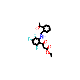 CCOC(=O)CC(=O)c1c(F)cc(F)c(F)c1NCc1ccccc1C(C)=O